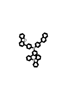 c1cc(-c2ccccc2-n2c3ccccc3c3ccccc32)cc(N(c2ccc(-c3ccc4ccccc4c3)cc2)c2ccc(-c3cccc4c3oc3ccccc34)cc2)c1